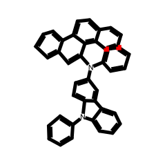 c1ccc(N(c2ccc3c(c2)c2ccccc2n3-c2ccccc2)c2cc3ccccc3c3ccc4ccccc4c23)cc1